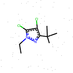 CCn1nc(C(C)(C)C)c(Cl)c1Cl